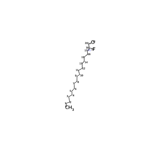 CCCCCCCCCCCCCCCCC/C=C(\F)[C]=O